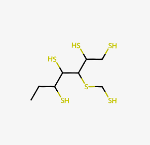 CCC(S)C(S)C(SCS)C(S)CS